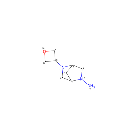 NN1CC2CC1CN2C1COC1